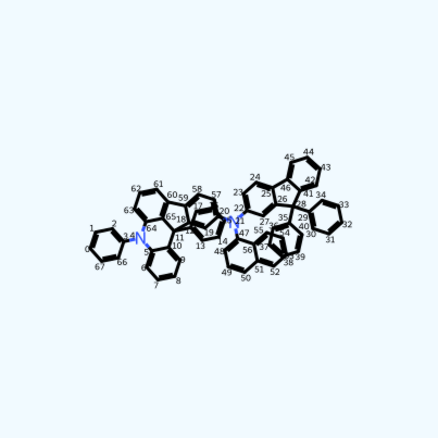 c1ccc(N2c3ccccc3C3(c4ccccc4)c4cc(N(c5ccc6c(c5)C(c5ccccc5)(c5ccccc5)c5ccccc5-6)c5cccc6ccccc56)ccc4-c4cccc2c43)cc1